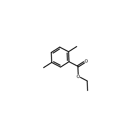 CCOC(=O)c1cc(C)ccc1C